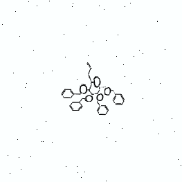 C=CC[C@H]1O[C@H](COCc2ccccc2)[C@@H](OCc2ccccc2)[C@H](OCc2ccccc2)[C@H]1OCc1ccccc1